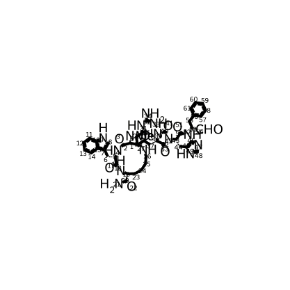 CN[C@@H]1C(=O)N[C@@H](Cc2c[nH]c3ccccc23)C(=O)N[C@H](C(N)=O)CCCCNC1(CCNC(=N)N)C(=O)C[C@@H]1NC(=O)N([C@@H](Cc2cnc[nH]2)C(=O)N[C@@H](C=O)Cc2ccccc2)C1=O